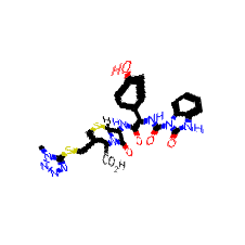 Cn1nnnc1SCC1=C(C(=O)O)N2C(=O)C(NC(=O)C(NC(=O)n3c(=O)[nH]c4ccccc43)c3ccc(O)cc3)[C@H]2SC1